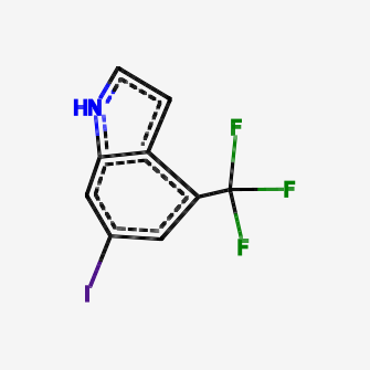 FC(F)(F)c1cc(I)cc2[nH]ccc12